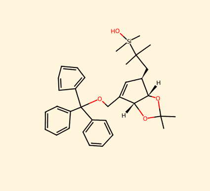 CC1(C)O[C@@H]2[C@H](O1)C(COC(c1ccccc1)(c1ccccc1)c1ccccc1)=C[C@H]2CC(C)(C)[Si](C)(C)O